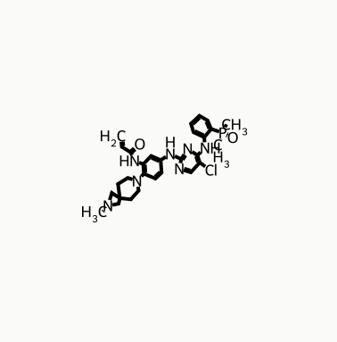 C=CC(=O)Nc1cc(Nc2ncc(Cl)c(Nc3ccccc3P(C)(C)=O)n2)ccc1N1CCC2(CC1)CN(C)C2